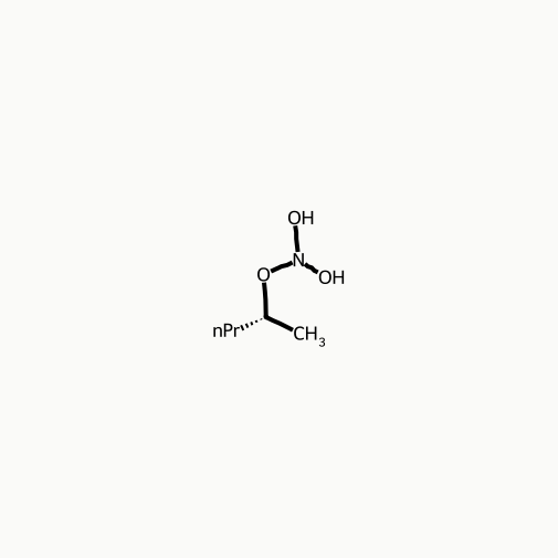 CCC[C@@H](C)ON(O)O